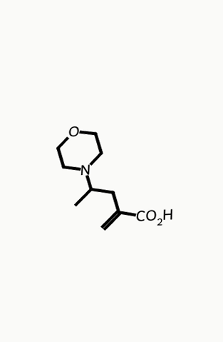 C=C(CC(C)N1CCOCC1)C(=O)O